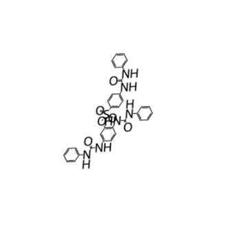 O=C(Nc1ccccc1)Nc1ccc(S(=O)(=O)Oc2cc(NC(=O)Nc3ccccc3)ccc2NC(=O)Nc2ccccc2)cc1